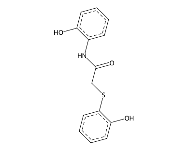 O=C(CSc1ccccc1O)Nc1ccccc1O